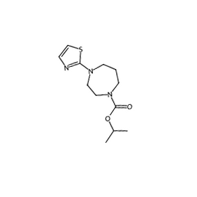 CC(C)OC(=O)N1CCCN(c2nccs2)CC1